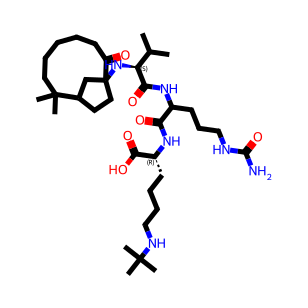 CC(C)[C@H](NC12CCC(C1)C(C)(C)CCCCCC2=O)C(=O)NC(CCCNC(N)=O)C(=O)N[C@H](CCCCNC(C)(C)C)C(=O)O